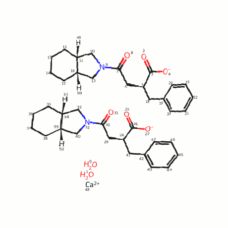 O.O.O=C([O-])[C@H](CC(=O)N1C[C@H]2CCCC[C@H]2C1)Cc1ccccc1.O=C([O-])[C@H](CC(=O)N1C[C@H]2CCCC[C@H]2C1)Cc1ccccc1.[Ca+2]